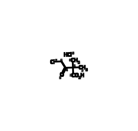 CC(C)(C(=O)O)C(=O)CCl.Cl